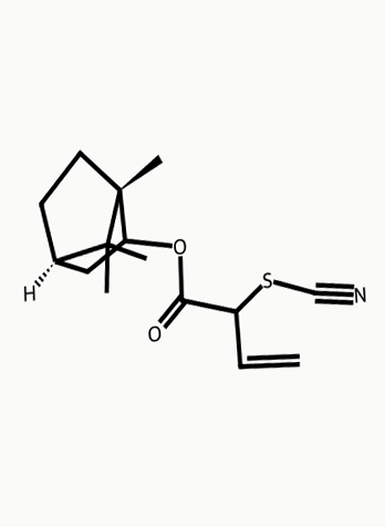 C=CC(SC#N)C(=O)OC1C[C@H]2CC[C@@]1(C)C2(C)C